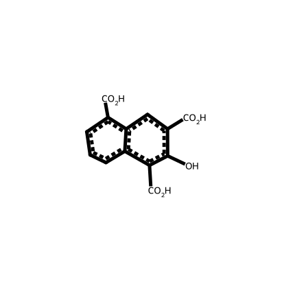 O=C(O)c1cc2c(C(=O)O)cccc2c(C(=O)O)c1O